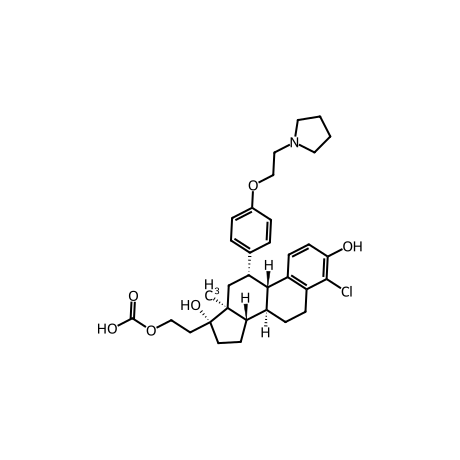 C[C@]12C[C@H](c3ccc(OCCN4CCCC4)cc3)[C@@H]3c4ccc(O)c(Cl)c4CC[C@H]3[C@@H]1CC[C@@]2(O)CCOC(=O)O